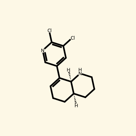 Clc1cc(C2=CCC[C@@H]3CCCN[C@H]23)cnc1Cl